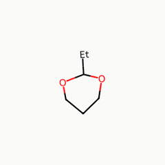 [CH2]CC1OCCCO1